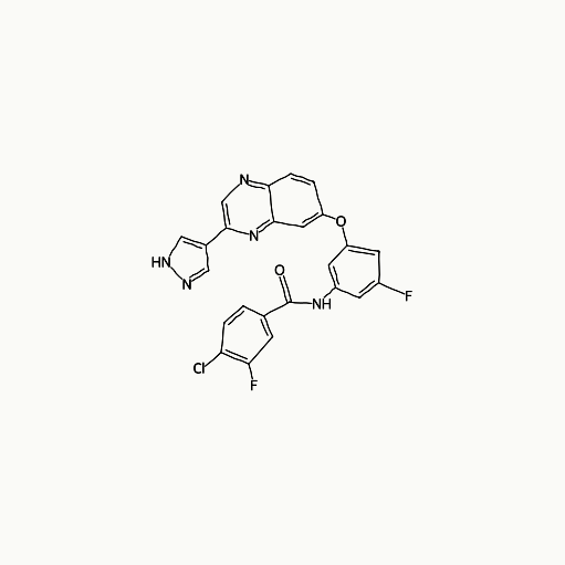 O=C(Nc1cc(F)cc(Oc2ccc3ncc(-c4cn[nH]c4)nc3c2)c1)c1ccc(Cl)c(F)c1